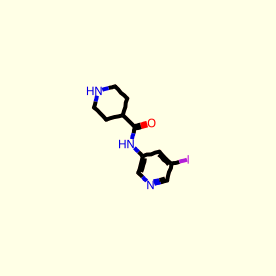 O=C(Nc1cncc(I)c1)C1CCNCC1